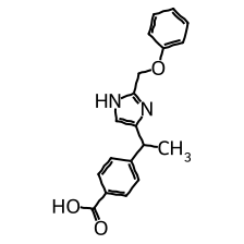 CC(c1ccc(C(=O)O)cc1)c1c[nH]c(COc2ccccc2)n1